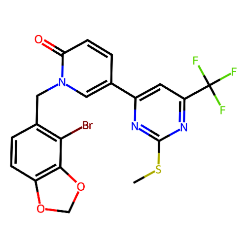 CSc1nc(-c2ccc(=O)n(Cc3ccc4c(c3Br)OCO4)c2)cc(C(F)(F)F)n1